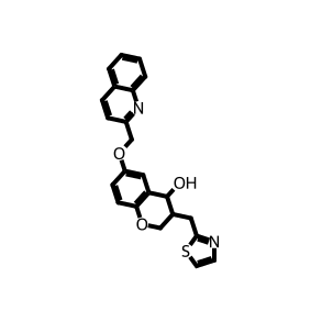 OC1c2cc(OCc3ccc4ccccc4n3)ccc2OCC1Cc1nccs1